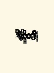 CCC(=O)N(n1c(=O)[nH]c2cc(C(F)(F)F)c(-c3ccnn3CC)cc2c1=O)S(C)(=O)=O